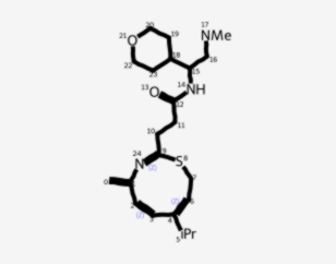 C=C1/C=C\C(C(C)C)=C/CS/C(CCC(=O)NC(CNC)C2CCOCC2)=N\1